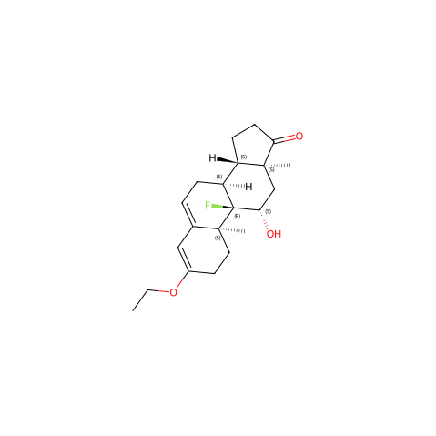 CCOC1=CC2=CC[C@H]3[C@@H]4CCC(=O)[C@@]4(C)C[C@H](O)[C@]3(F)[C@@]2(C)CC1